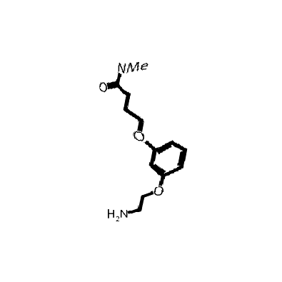 CNC(=O)CCCOc1cccc(OCCN)c1